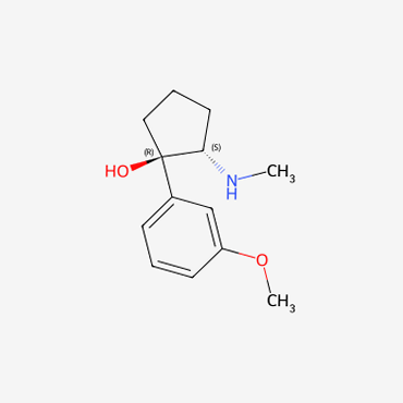 CN[C@H]1CCC[C@@]1(O)c1cccc(OC)c1